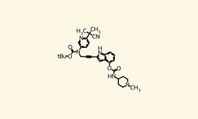 CN1CCC(NC(=O)Oc2cccc3[nH]c(C#CCN(C(=O)OC(C)(C)C)c4ccc(C(C)(C)C#N)nc4)cc23)CC1